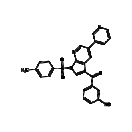 Cc1ccc(S(=O)(=O)n2cc(C(=O)c3cccc(N=O)c3)c3cc(-c4cccnc4)cnc32)cc1